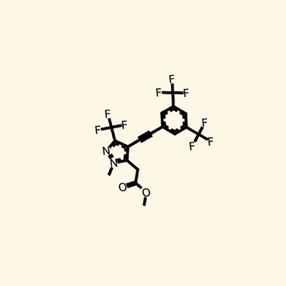 COC(=O)Cc1c(C#Cc2cc(C(F)(F)F)cc(C(F)(F)F)c2)c(C(F)(F)F)nn1C